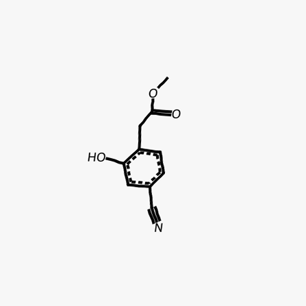 COC(=O)Cc1ccc(C#N)cc1O